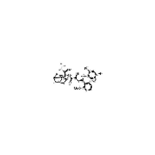 COc1cccc(OC)c1/C(=C/C(=N)C(=O)NC1(C(=O)OC(C)(C)C)C2CC3CC(C2)CC1C3)Nc1ccc(I)cc1C(C)C